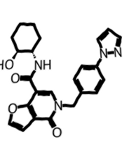 O=C(N[C@H]1CCCC[C@@H]1O)c1cn(Cc2ccc(-n3cccn3)cc2)c(=O)c2ccoc12